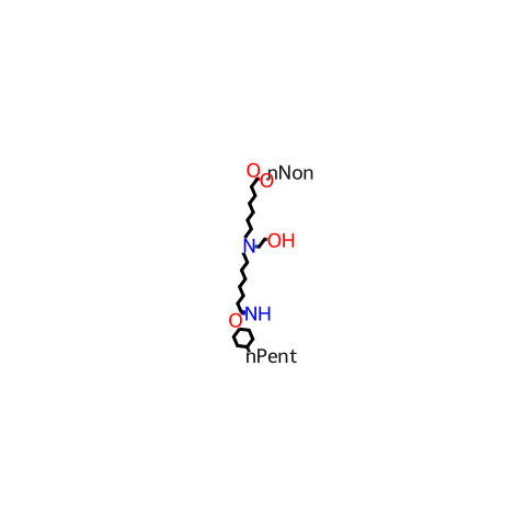 CCCCCCCCCOC(=O)CCCCCCCN(CCO)CCCCCCCC(=N)OC1CCC(CCCCC)CC1